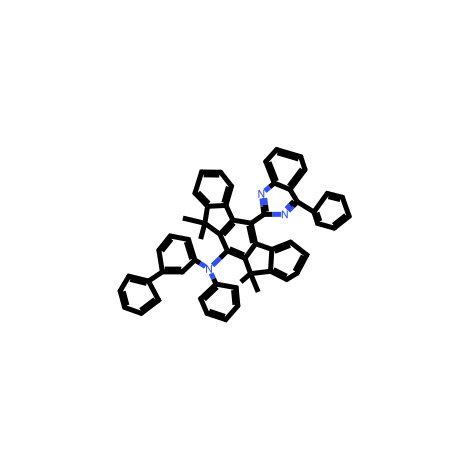 CC1(C)c2ccccc2-c2c(-c3nc(-c4ccccc4)c4ccccc4n3)c3c(c(N(c4ccccc4)c4cccc(-c5ccccc5)c4)c21)C(C)(C)c1ccccc1-3